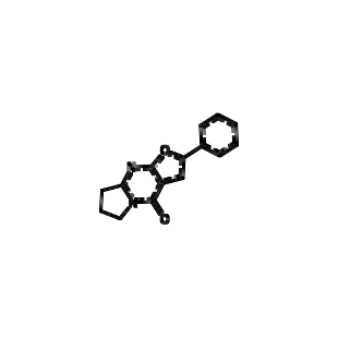 O=c1c2cc(-c3ccccc3)oc2nc2n1CCC2